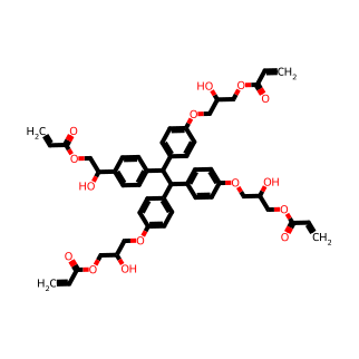 C=CC(=O)OCC(O)COc1ccc(C(c2ccc(OCC(O)COC(=O)C=C)cc2)C(c2ccc(OCC(O)COC(=O)C=C)cc2)c2ccc(C(O)COC(=O)C=C)cc2)cc1